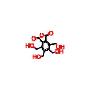 O=C1OC(=O)c2c(CO)c(CO)c(CO)c(CO)c21